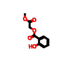 COC(=O)COC(=O)c1ccccc1O